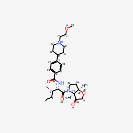 CC[C@H](C)[C@H](NC(=O)c1ccc(C2CCN(CCOC)CC2)cc1)C(=O)N1CC[C@H]2OCC(=O)[C@H]21